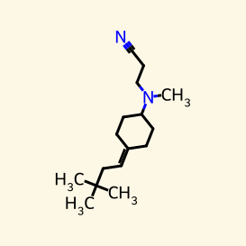 CN(CCC#N)C1CCC(=CCC(C)(C)C)CC1